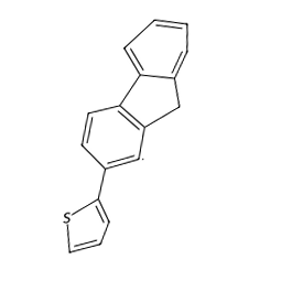 [c]1c(-c2cccs2)ccc2c1Cc1ccccc1-2